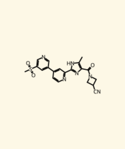 Cc1[nH]c(-c2cc(-c3cncc(S(C)(=O)=O)c3)ccn2)nc1C(=O)N1CC(C#N)C1